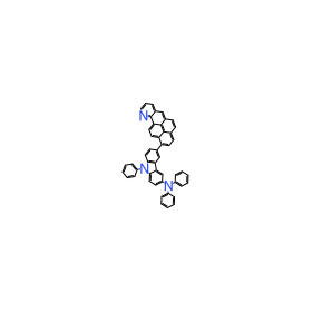 c1ccc(N(c2ccccc2)c2ccc3c(c2)c2cc(-c4ccc5ccc6cc7cccnc7c7ccc4c5c67)ccc2n3-c2ccccc2)cc1